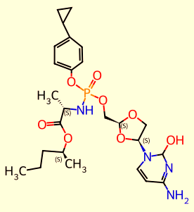 CCC[C@H](C)OC(=O)[C@H](C)NP(=O)(OC[C@H]1OC[C@@H](N2C=CC(N)=NC2O)O1)Oc1ccc(C2CC2)cc1